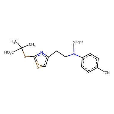 CCCCCCCN(CCc1csc(SC(C)(C)C(=O)O)n1)c1ccc(C#N)cc1